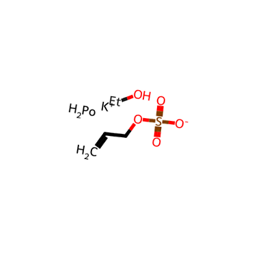 C=CCOS(=O)(=O)[O-].CCO.[K+].[PoH2]